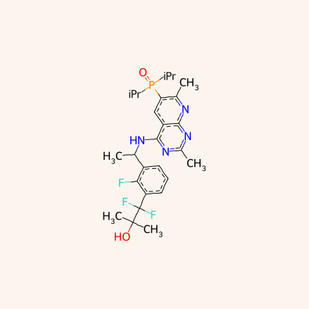 Cc1nc(NC(C)c2cccc(C(F)(F)C(C)(C)O)c2F)c2cc(P(=O)(C(C)C)C(C)C)c(C)nc2n1